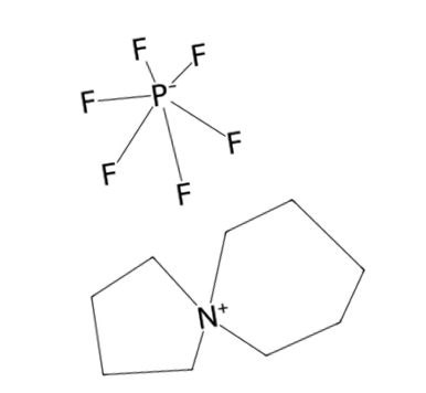 C1CC[N+]2(CC1)CCCC2.F[P-](F)(F)(F)(F)F